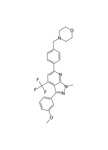 COc1cccc(-c2nn(C)c3nc(-c4ccc(CN5CCOCC5)cc4)cc(C(F)(F)F)c23)c1